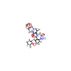 Cc1cccc(C)c1Oc1ccc2c(c1)C(=O)N([C@@H](C(=O)N1CCC3(CC1)OCCO3)C(C)C)CC(=O)N2